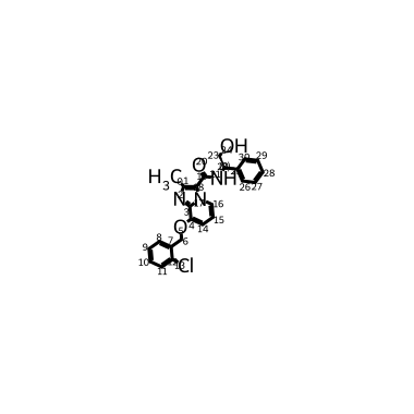 Cc1nc2c(OCc3ccccc3Cl)cccn2c1C(=O)N[C@@H](CO)c1ccccc1